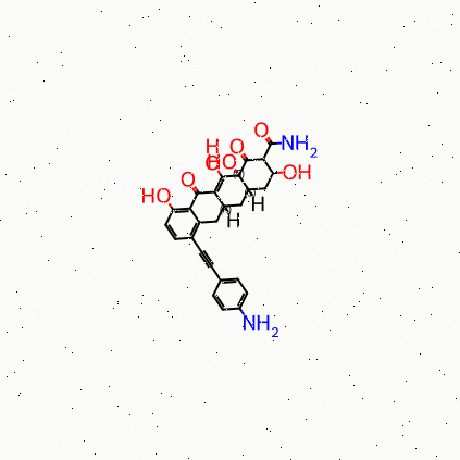 NC(=O)C1C(=O)[C@@]2(O)C(O)=C3C(=O)c4c(O)ccc(C#Cc5ccc(N)cc5)c4C[C@H]3C[C@H]2CC1O